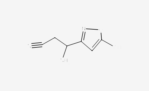 N#CCC(N)c1cc(O)on1